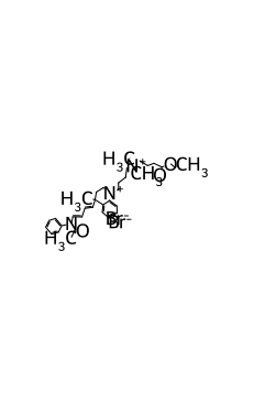 CCOC(=O)CCC[N+](C)(C)CCCC[N+]1=CCC(C)(C=CC=CN(C(C)=O)c2ccccc2)c2ccccc21.[Br-].[Br-]